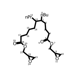 CCCCC(CCCC(=O)OCC1CO1)C(CCC)CCCCC(=O)OCC1CO1